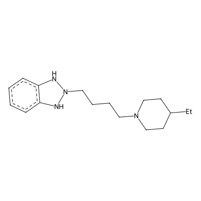 CCC1CCN(CCCCN2Nc3ccccc3N2)CC1